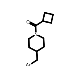 CC(=O)CC1CCN(C(=O)C2CCC2)CC1